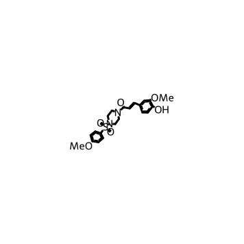 COc1ccc(S(=O)(=O)N2CCN(C(=O)/C=C/c3ccc(O)c(OC)c3)CC2)cc1